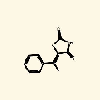 CC(=C1SC(=O)NC1=O)c1ccccc1